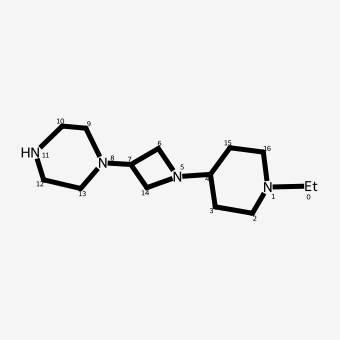 CCN1CCC(N2CC(N3CCNCC3)C2)CC1